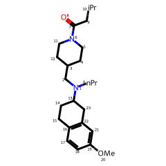 CCCN(CC1CCN(C(=O)CC(C)C)CC1)C1CCc2ccc(OC)cc2C1